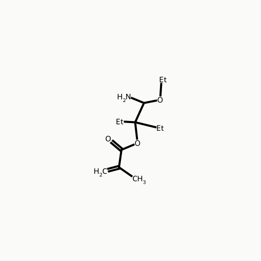 C=C(C)C(=O)OC(CC)(CC)C(N)OCC